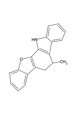 CC1Cc2c(oc3ccccc23)-c2[nH]c3ccccc3c21